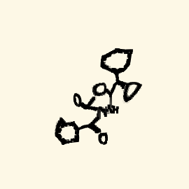 O=C(c1ccccc1)C1NN(C(=O)c2ccccc2)C(=O)O1